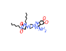 CCCCCCn1c(N2CCN(c3nc(N)c4cc(OC)c(OC)cc4n3)CC2)cc(=O)n(CCCCCC)c1=O